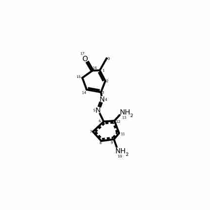 CC1=CC(N=Nc2ccc(N)cc2N)=CCC1=O